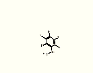 CBc1c(F)c(F)c(F)c(F)c1F